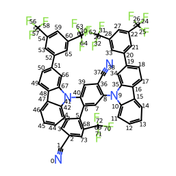 N#Cc1ccc(-c2cc(-n3c4ccccc4c4ccc(-c5cc(C(F)(F)F)cc(C(F)(F)F)c5)cc43)c(C#N)cc2-n2c3ccccc3c3ccc(-c4cc(C(F)(F)F)cc(C(F)(F)F)c4)cc32)c(C(F)(F)F)c1